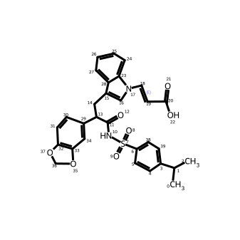 CC(C)c1ccc(S(=O)(=O)NC(=O)C(Cc2cn(/C=C/C(=O)O)c3ccccc23)c2ccc3c(c2)OCO3)cc1